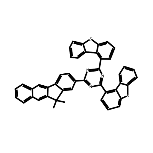 CC1(C)c2cc(-c3nc(-c4cccc5sc6ccccc6c45)nc(-c4cccc5sc6ccccc6c45)n3)ccc2-c2cc3ccccc3cc21